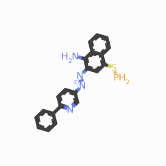 Nc1c(/N=N/c2ccc(-c3ccccc3)nc2)cc(SP)c2ccccc12